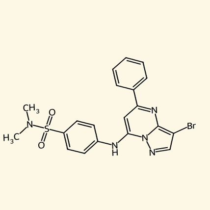 CN(C)S(=O)(=O)c1ccc(Nc2cc(-c3ccccc3)nc3c(Br)cnn23)cc1